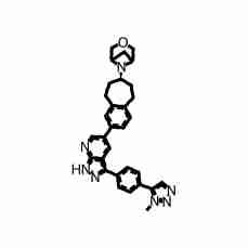 Cn1nncc1-c1ccc(-c2n[nH]c3ncc(-c4ccc5c(c4)CC[C@@H](N4C6COCC4C6)CC5)cc23)cc1